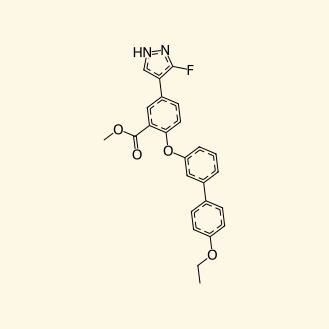 CCOc1ccc(-c2cccc(Oc3ccc(-c4c[nH]nc4F)cc3C(=O)OC)c2)cc1